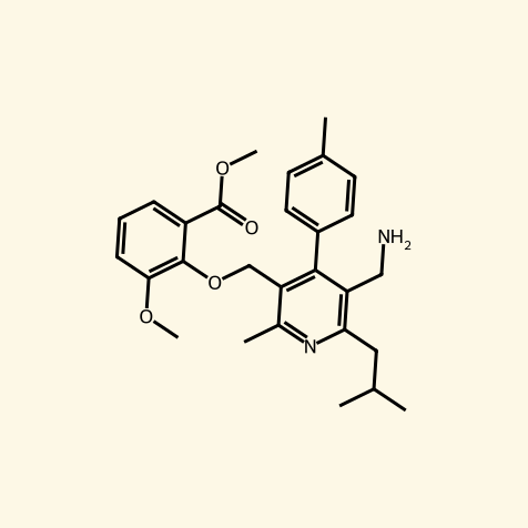 COC(=O)c1cccc(OC)c1OCc1c(C)nc(CC(C)C)c(CN)c1-c1ccc(C)cc1